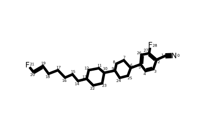 N#Cc1ccc(C2CCC(C3CCC(CCCCC/C=C/F)CC3)CC2)cc1F